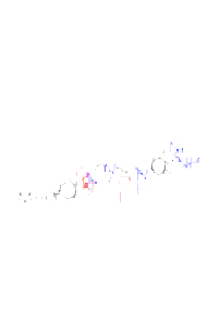 COc1ccc(S(=O)(=O)N2CCN(CC(O)CNc3ccc(C(=N)N)cc3)CC2)cc1